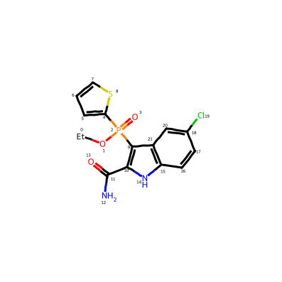 CCOP(=O)(c1cccs1)c1c(C(N)=O)[nH]c2ccc(Cl)cc12